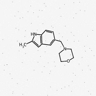 Cc1cc2cc(CN3CCOCC3)ccc2[nH]1